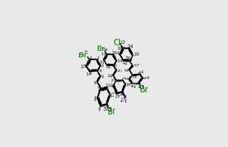 Brc1ccc(/C=C/c2ccc(Br)cc2)cc1.Brc1ccc(/C=C/c2ccc(I)cc2)cc1.Clc1ccc(/C=C/c2ccc(Br)cc2)cc1